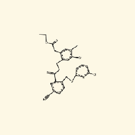 CCOC(=O)Cc1cc(C)c(Br)cc1CCC(=O)c1cc(C#N)ccc1COc1cccc(Cl)n1